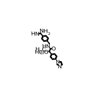 CO[C@H](C(=O)NCc1ccc(C(=N)N)cc1)c1ccc(-n2ccnc2)cc1.Cl